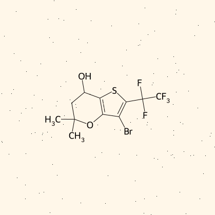 CC1(C)CC(O)c2sc(C(F)(F)C(F)(F)F)c(Br)c2O1